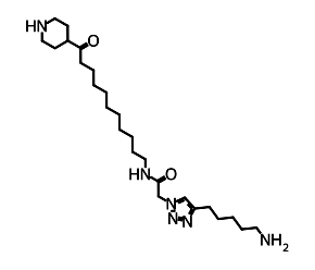 NCCCCCc1cn(CC(=O)NCCCCCCCCCCC(=O)C2CCNCC2)nn1